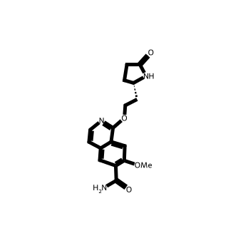 COc1cc2c(OCC[C@@H]3CCC(=O)N3)nccc2cc1C(N)=O